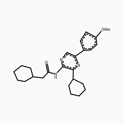 COc1ccc(-c2cnc(NC(=O)CC3CCCCC3)c(C3CCCCC3)n2)cc1